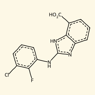 O=C(O)c1cccc2nc(Nc3cccc(Cl)c3F)[nH]c12